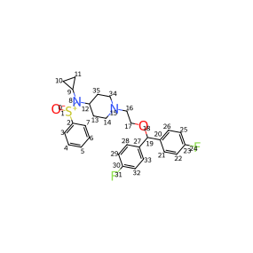 [O-][S+](c1ccccc1)N(C1CC1)C1CCN(CCOC(c2ccc(F)cc2)c2ccc(F)cc2)CC1